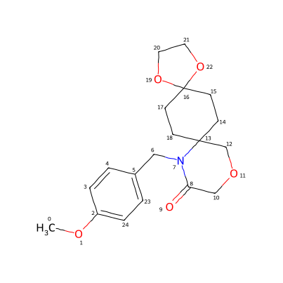 COc1ccc(CN2C(=O)COCC23CCC2(CC3)OCCO2)cc1